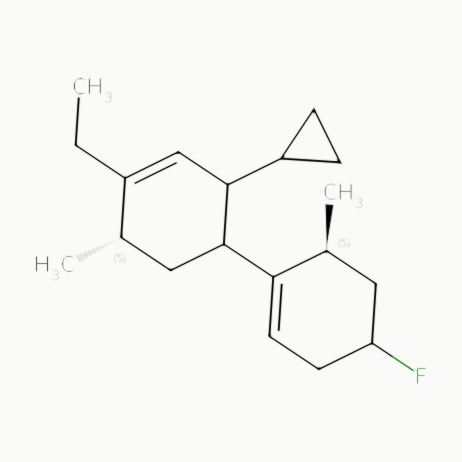 CCC1=CC(C2CC2)C(C2=CCC(F)C[C@@H]2C)C[C@@H]1C